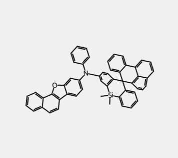 C[Si]1(C)c2ccccc2C2(c3ccccc3-c3cccc4cccc2c34)c2ccc(N(c3ccccc3)c3ccc4c(c3)oc3c5ccccc5ccc43)cc21